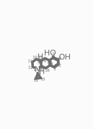 Oc1ccc2c(c1O)C[C@H]1CCCN(C3CC3)[C@@H]1C2